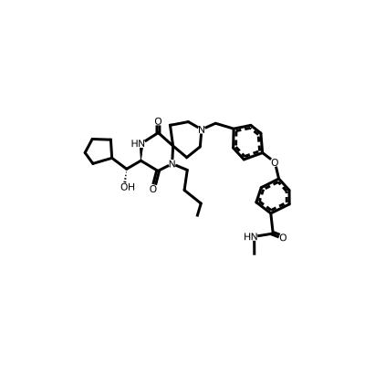 CCCCN1C(=O)[C@@H]([C@H](O)C2CCCC2)NC(=O)C12CCN(Cc1ccc(Oc3ccc(C(=O)NC)cc3)cc1)CC2